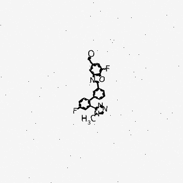 Cn1cnnc1-c1cc(F)ccc1-c1cccc(-c2nc3cc(C=O)cc(F)c3o2)c1